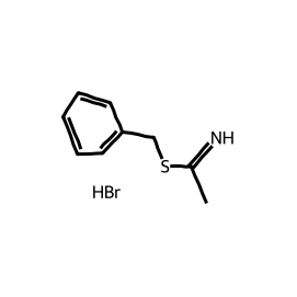 Br.CC(=N)SCc1ccccc1